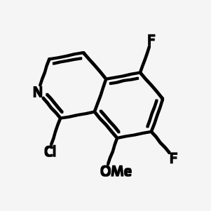 COc1c(F)cc(F)c2ccnc(Cl)c12